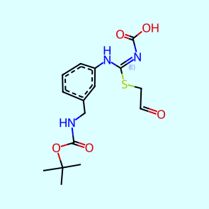 CC(C)(C)OC(=O)NCc1cccc(N/C(=N\C(=O)O)SCC=O)c1